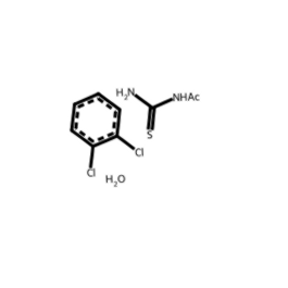 CC(=O)NC(N)=S.Clc1ccccc1Cl.O